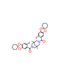 CC12CN(C(=O)c3cc4c(cc3I)OC3(CCCCC3)O4)CC(C)(CN(C(=O)c3cc4c(cc3I)OC3(CCCCC3)O4)C1)C2